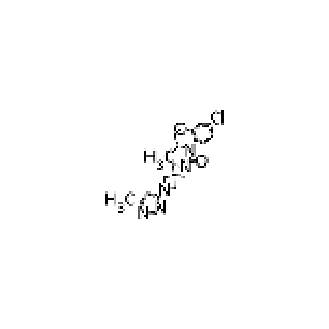 Cc1cc(N2CC3(CN(C(=O)N4c5ccc(Cl)cc5OCC4C)C3)C2)ncn1